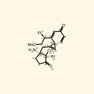 CC[C@H](COC)C1=CC(=O)C=C[C@@]12C=C2C[C@]1(N)CCC(=O)[C@@]1(C)CC